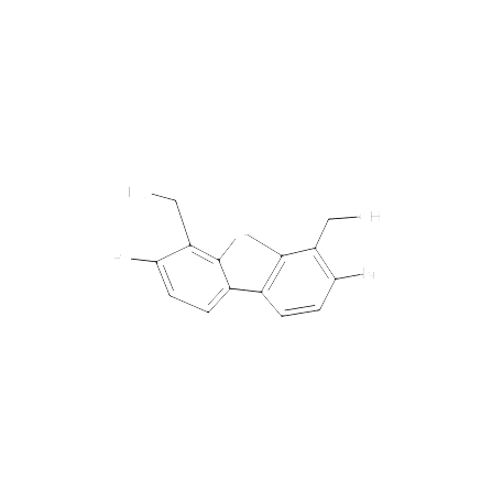 CCc1c(Br)ccc2c1sc1c(CC)c(Br)ccc12